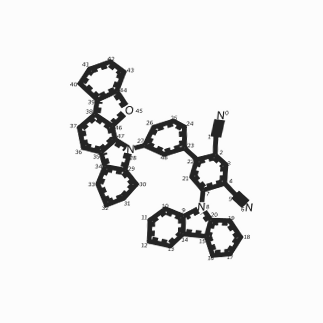 N#Cc1cc(C#N)c(-n2c3ccccc3c3ccccc32)cc1-c1cccc(-n2c3ccccc3c3ccc4c5ccccc5oc4c32)c1